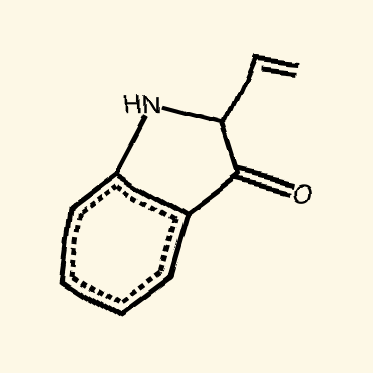 C=CC1Nc2ccccc2C1=O